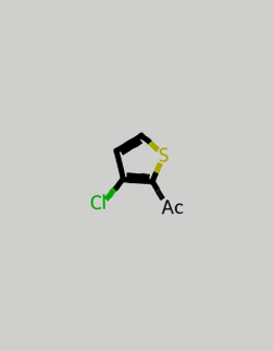 [CH2]C(=O)c1sccc1Cl